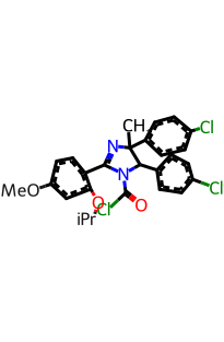 COc1ccc(C2=NC(C)(c3ccc(Cl)cc3)C(c3ccc(Cl)cc3)N2C(=O)Cl)c(OC(C)C)c1